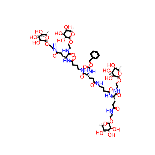 C[C@@H]1O[C@@H](OCCNC(=O)CC[C@H](NC(=O)CCCNC(=O)CC[C@H](NC(=O)OCc2ccccc2)C(=O)NCCCC(=O)N[C@@H](CCC(=O)NCCO[C@@H]2O[C@@H](C)[C@@H](O)[C@@H](O)[C@@H]2O)C(=O)NCCO[C@@H]2O[C@@H](C)[C@@H](O)[C@@H](O)[C@@H]2O)C(=O)NCCO[C@@H]2O[C@@H](C)[C@@H](O)[C@@H](O)[C@@H]2O)[C@@H](O)[C@H](O)[C@@H]1O